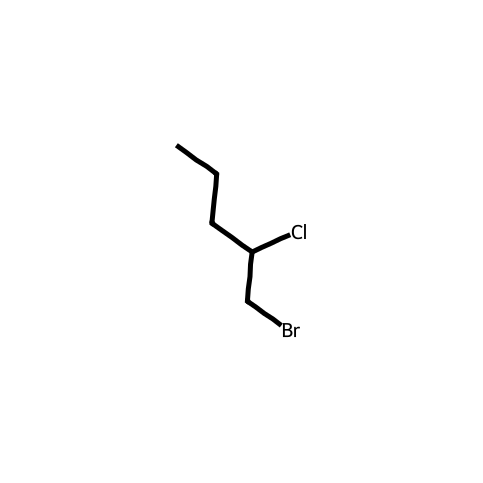 CCCC(Cl)CBr